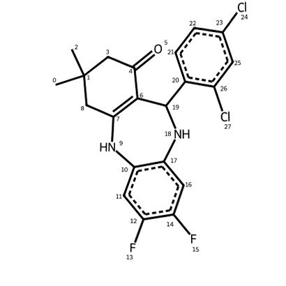 CC1(C)CC(=O)C2=C(C1)Nc1cc(F)c(F)cc1NC2c1ccc(Cl)cc1Cl